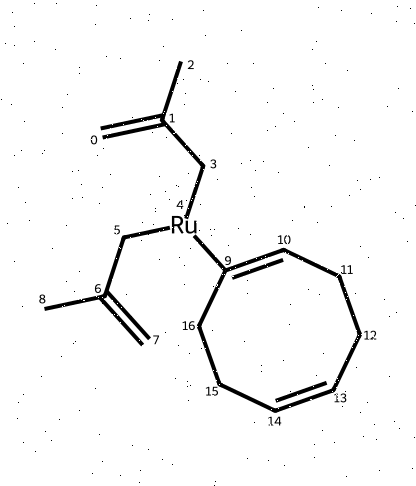 C=C(C)[CH2][Ru]([CH2]C(=C)C)[C]1=CCCC=CCC1